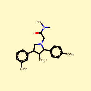 CCCN(C)C(=O)CN1CC(c2cccc(OC)c2)C(C(=O)O)C1c1ccc(OC)cc1